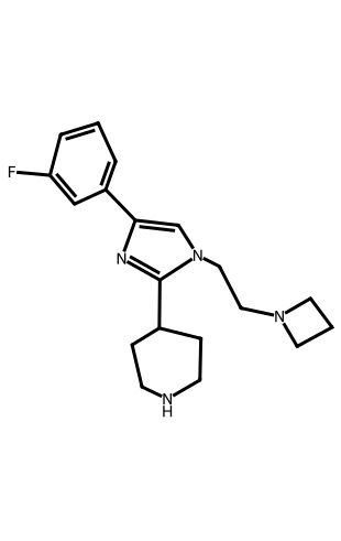 Fc1cccc(-c2cn(CCN3CCC3)c(C3CCNCC3)n2)c1